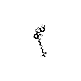 CC(=O)NCCCOCCCNc1cccc2c1C(=O)N(C1CCC(=O)NC1=O)C2=O